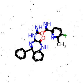 Cc1nc(C(=N)OC(=N)NC2N=C(c3ccccc3)c3ccccc3NC2=O)ccc1F